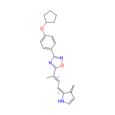 C=c1cc[nH]/c1=C/C=C(\C)c1nc(-c2ccc(OC3CCCC3)cc2)no1